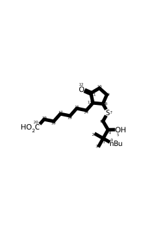 CCCCC(C)(C)C(O)CSC1CCC(=O)C1CCCCCCC(=O)O